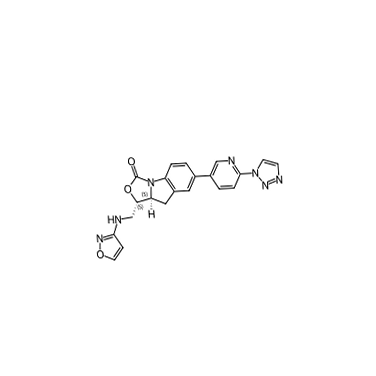 O=C1O[C@@H](CNc2ccon2)[C@@H]2Cc3cc(-c4ccc(-n5ccnn5)nc4)ccc3N12